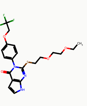 CCOCCOCCSc1nc2[nH]ccc2c(=O)n1-c1ccc(OCC(F)(F)F)cc1